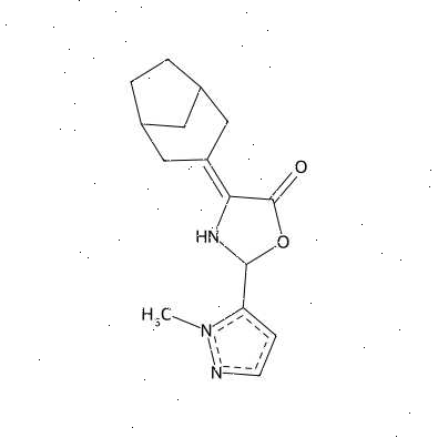 Cn1nccc1C1NC(=C2CC3CCC(C2)C3)C(=O)O1